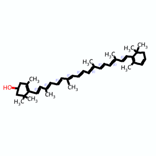 CC1=C(/C=C/C(C)=C/C=C/C(C)=C/C=C/C=C(C)/C=C/C=C(C)/C=C/C2=C(C)CC(O)CC2(C)C)C(C)(C)CC=C1